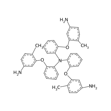 Cc1ccc(N)cc1Oc1ccccc1N(c1ccccc1Oc1cc(N)ccc1C)c1ccccc1Oc1cc(N)ccc1C